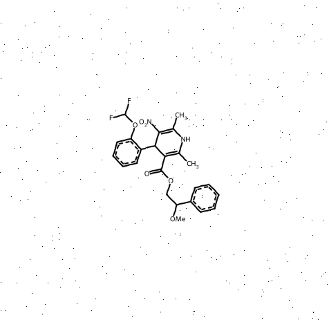 COC(COC(=O)C1=C(C)NC(C)=C([N+](=O)[O-])C1c1ccccc1OC(F)F)c1ccccc1